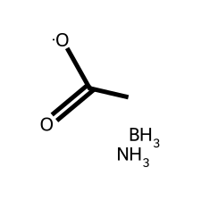 B.CC([O])=O.N